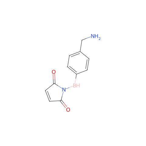 NCc1ccc(BN2C(=O)C=CC2=O)cc1